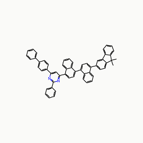 CC1(C)c2ccccc2-c2cc(-c3ccc(-c4ccc(-c5cc(-c6ccc(-c7ccccc7)cc6)nc(-c6ccccc6)n5)c5ccccc45)c4ccccc34)ccc21